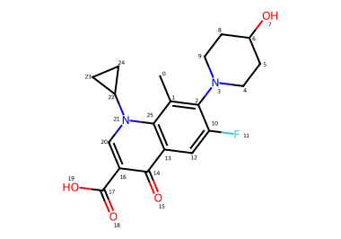 Cc1c(N2CCC(O)CC2)c(F)cc2c(=O)c(C(=O)O)cn(C3CC3)c12